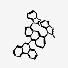 Cc1nc2ccccc2n1-c1cccc2c(-c3cc4ccccc4c4ccccc34)c3cccc(-n4c(C)nc5ccccc54)c3cc12